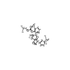 COc1ccnc(C(=O)N[C@@H](C)c2nc(-c3cccc(C(C)C)c3)no2)c1OC(=O)OCC(C)C